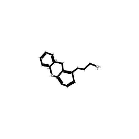 OCCCc1cccc2c1[CH]c1ccccc1O2